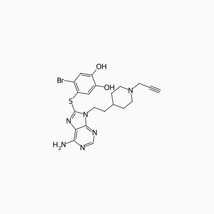 C#CCN1CCC(CCn2c(Sc3cc(O)c(O)cc3Br)nc3c(N)ncnc32)CC1